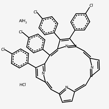 Cl.Clc1ccc(C2=CC3=CC4=NC(=CC5=NC(=CC6=NC(=C(c7ccc(Cl)cc7)C2=N3)C(c2ccc(Cl)cc2)=C6c2ccc(Cl)cc2)C=C5)C=C4)cc1.[AlH3]